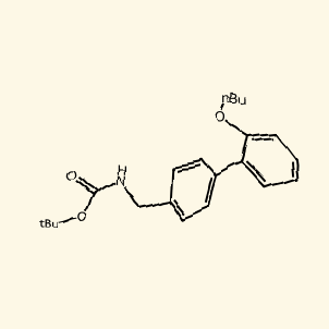 CCCCOc1ccccc1-c1ccc(CNC(=O)OC(C)(C)C)cc1